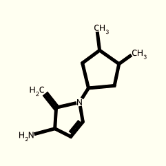 C=C1C(N)C=CN1C1CC(C)C(C)C1